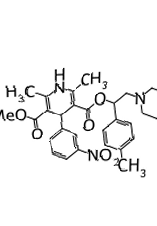 COC(=O)C1=C(C)NC(C)=C(C(=O)OC(CN2CCCCC2)c2ccc(C)cc2)C1c1cccc([N+](=O)[O-])c1